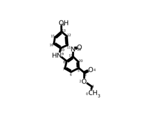 CCOC(=O)c1ccc(Nc2ccc(O)cc2)c(N=O)c1